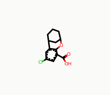 O=C(O)c1cc(Cl)cc2c1OC1CCCC2C1